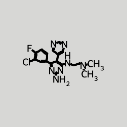 CN(C)CCNc1nc(N)nc(-c2ccc(F)c(Cl)c2)c1-c1cncnc1